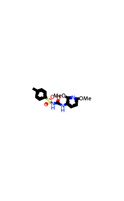 COc1ccc(NC(=O)NS(=O)(=O)c2ccc(C)cc2)c(OC)n1